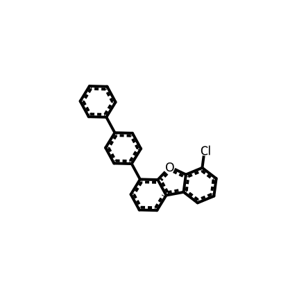 Clc1cccc2c1oc1c(-c3ccc(-c4ccccc4)cc3)cccc12